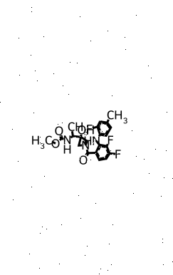 COC(=O)NC(C)C1(O)CN(C(=O)c2ccc(F)c(F)c2Nc2ccc(C)cc2F)C1